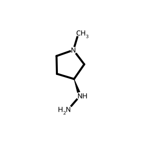 CN1CC[C@H](NN)C1